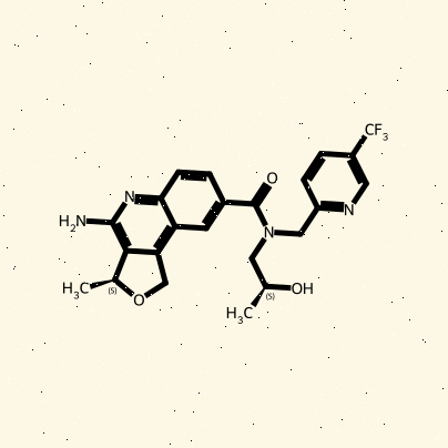 C[C@H](O)CN(Cc1ccc(C(F)(F)F)cn1)C(=O)c1ccc2nc(N)c3c(c2c1)CO[C@H]3C